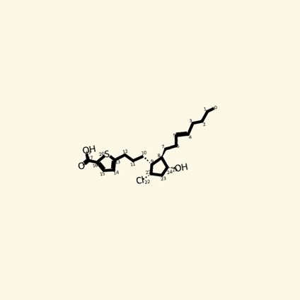 CCCC/C=C/CC[C@@H]1[C@@H](CCCc2ccc(C(=O)O)s2)[C@@H](Cl)C[C@H]1O